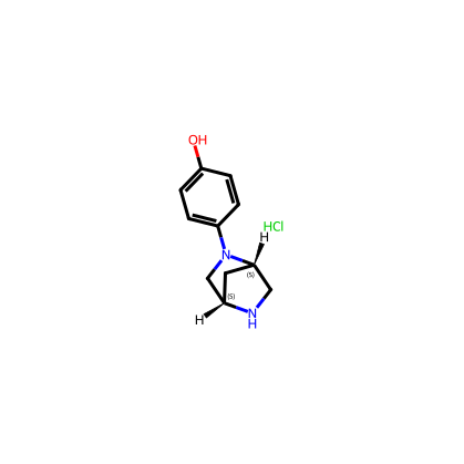 Cl.Oc1ccc(N2C[C@@H]3C[C@H]2CN3)cc1